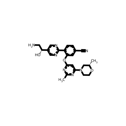 Cc1nc(Oc2cc(C#N)ccc2-c2ncc([C@H](O)CN)cn2)cc(N2CCO[C@@H](C)C2)n1